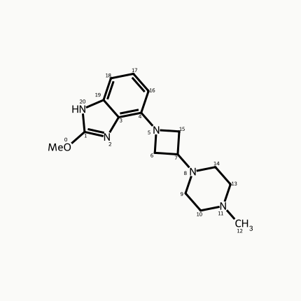 COc1nc2c(N3CC(N4CCN(C)CC4)C3)cccc2[nH]1